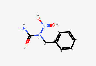 NC(=O)N(Cc1ccccc1)[N+](=O)[O-]